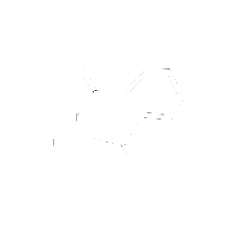 Cl.O=C(Cl)c1ccccc1C(=O)Cl